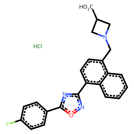 Cl.O=C(O)C1CN(Cc2ccc(-c3noc(-c4ccc(F)cc4)n3)c3ccccc23)C1